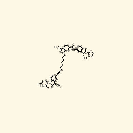 Cc1nn(CCCCCCCC#Cc2ccc3c(c2)n(C)c(=O)n3C2CCC(=O)NC2=O)c2cc(C(=O)Nc3cc4[nH]c([C@H]5CCCN5C)cc4cn3)ccc12